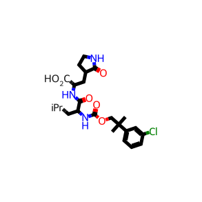 CC(C)CC(NC(=O)OCC(C)(C)c1cccc(Cl)c1)C(=O)NC(CC1CCNC1=O)C(=O)O